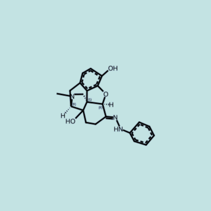 CN1CC[C@]23c4c5ccc(O)c4O[C@H]2C(=NNc2ccccc2)CCC3(O)[C@H]1C5